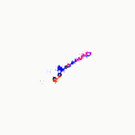 COc1cccc(Oc2ccc(-c3nn(C4CC5CN(C6CN(C7CN(c8ccc(C(=O)NC9CCC(=O)NC9=O)nc8)C7)C6)CC5C4)c4ncnc(N)c34)cc2)c1F